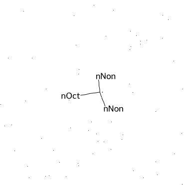 CCCCCCCCC[C](CCCCCCCC)CCCCCCCCC